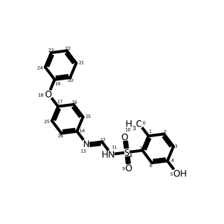 Cc1ccc(O)cc1S(=O)(=O)NC=Nc1ccc(Oc2ccccc2)cc1